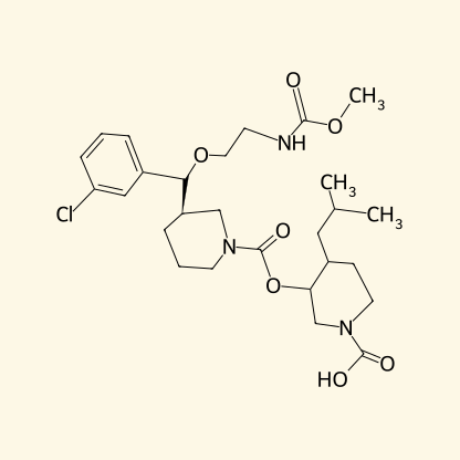 COC(=O)NCCOC(c1cccc(Cl)c1)[C@@H]1CCCN(C(=O)OC2CN(C(=O)O)CCC2CC(C)C)C1